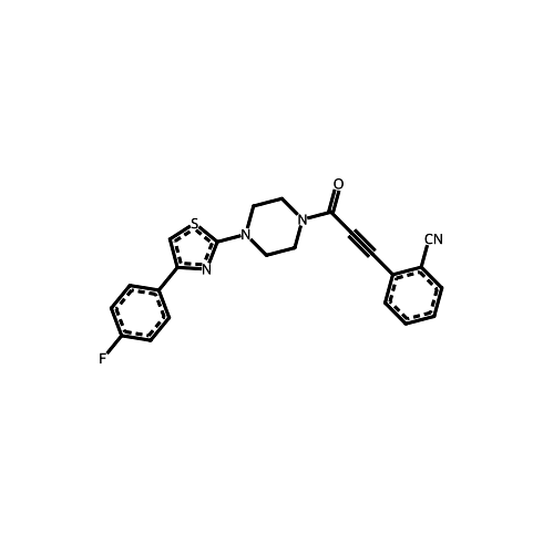 N#Cc1ccccc1C#CC(=O)N1CCN(c2nc(-c3ccc(F)cc3)cs2)CC1